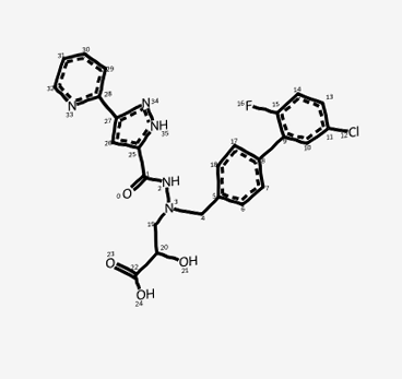 O=C(NN(Cc1ccc(-c2cc(Cl)ccc2F)cc1)CC(O)C(=O)O)c1cc(-c2ccccn2)n[nH]1